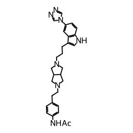 CC(=O)Nc1ccc(CCN2CC3CN(CCCc4c[nH]c5ccc(-n6cnnc6)cc45)CC3C2)cc1